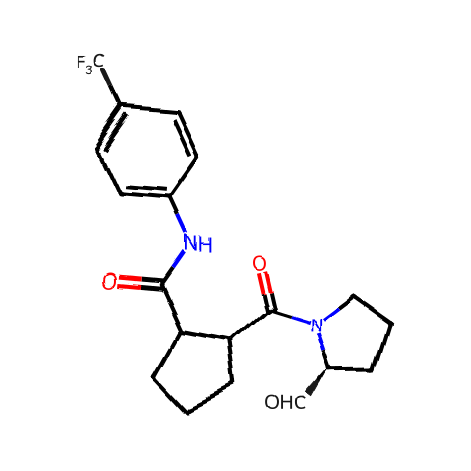 O=C[C@@H]1CCCN1C(=O)C1CCCC1C(=O)Nc1ccc(C(F)(F)F)cc1